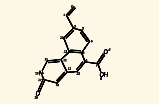 C=Cc1ccc2c(C(=O)O)cc3c(c2c1)=C[N]C(=O)C=3